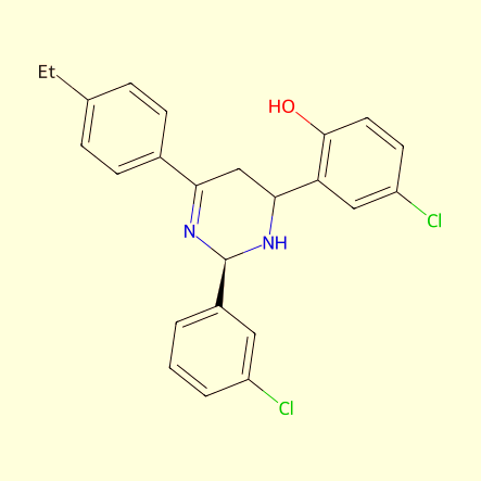 CCc1ccc(C2=N[C@H](c3cccc(Cl)c3)NC(c3cc(Cl)ccc3O)C2)cc1